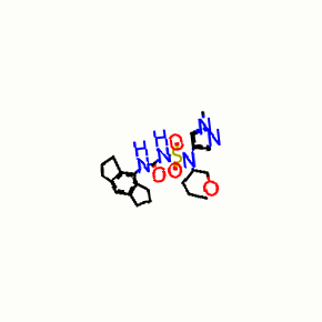 Cn1cc(N(C2CCCOC2)S(=O)(=O)NC(=O)Nc2c3c(cc4c2CCC4)CCC3)cn1